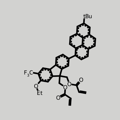 C=CC(=O)OCC1(COC(=O)C=C)c2cc(-c3ccc4ccc5cc(C(C)(C)C)cc6ccc3c4c56)ccc2-c2cc(C(F)(F)F)c(OCC)cc21